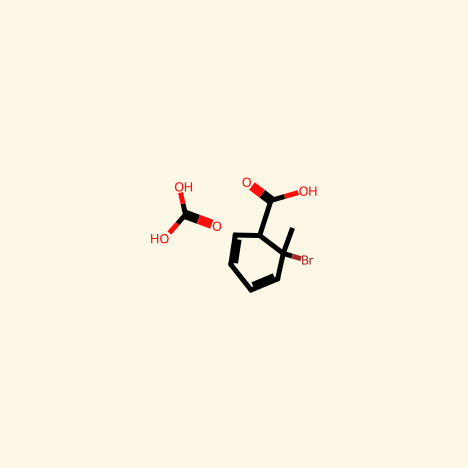 CC1(Br)C=CC=CC1C(=O)O.O=C(O)O